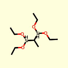 CCO[SiH](OCC)C(C)[SiH](OCC)OCC